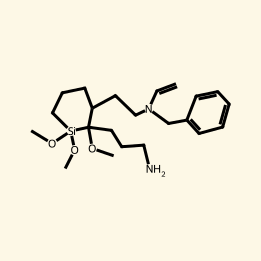 C=CN(CCC1CCC[Si](OC)(OC)C1(CCCN)OC)Cc1ccccc1